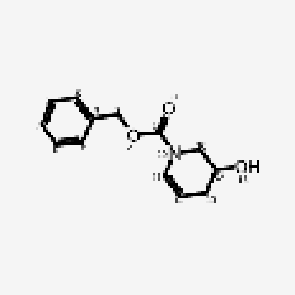 O=C(OCc1ccccc1)N1C=CCC(O)C1